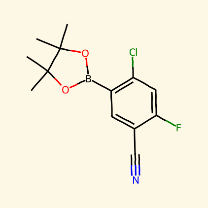 CC1(C)OB(c2cc(C#N)c(F)cc2Cl)OC1(C)C